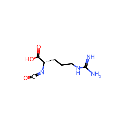 N=C(N)NCCC[C@H](N=C=O)C(=O)O